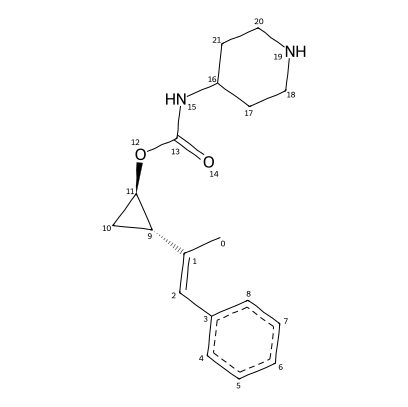 C/C(=C\c1ccccc1)[C@@H]1C[C@H]1OC(=O)NC1CCNCC1